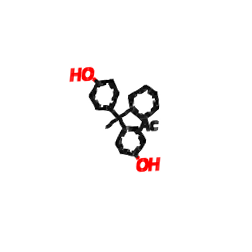 CC(=O)c1ccccc1C(C)(c1ccc(O)cc1)c1ccc(O)cc1